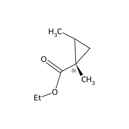 CCOC(=O)[C@@]1(C)CC1C